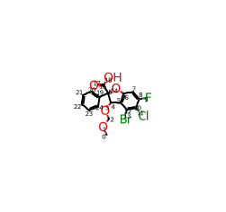 COCOC1c2c(cc(F)c(Cl)c2Br)OC1(C(=O)O)c1ccccc1